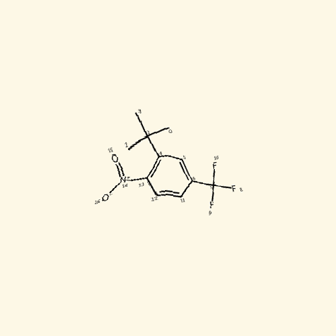 CC(C)(C)c1cc(C(F)(F)F)ccc1[N+](=O)[O-]